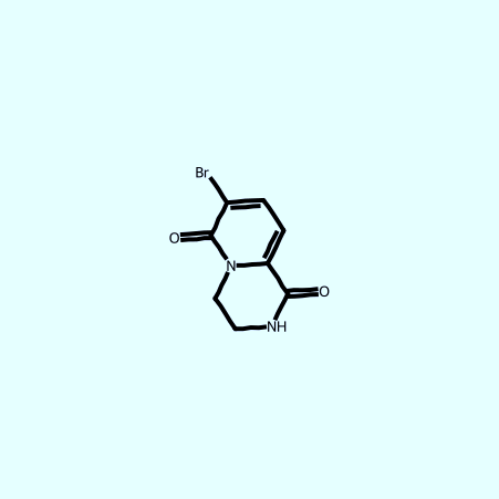 O=C1NCCn2c1ccc(Br)c2=O